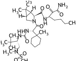 CCCCC(NC(=O)[C@@H]1[C@@H]2[C@H](CN1C(=O)[C@@H](NC(=O)N[C@H](CN(C)S(C)(=O)=O)C(C)(C)C)C1(C)CCCCC1)C2(C)C)C(=O)C(N)=O